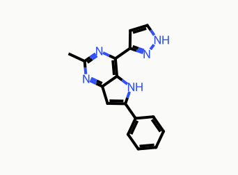 Cc1nc(-c2cc[nH]n2)c2[nH]c(-c3ccccc3)cc2n1